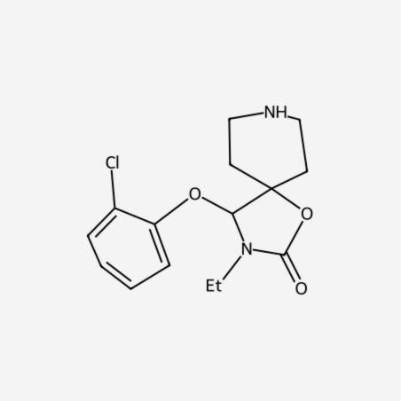 CCN1C(=O)OC2(CCNCC2)C1Oc1ccccc1Cl